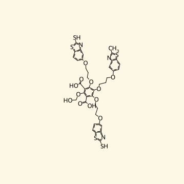 Cc1nc2cc(OCCCOc3c(OCCCOc4ccc5sc(S)nc5c4)c(C(=O)O)c(OCO)c(C(=O)O)c3OCCCOc3ccc4sc(S)nc4c3)ccc2s1